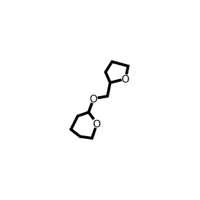 C1CCC(OCC2CCCO2)OC1